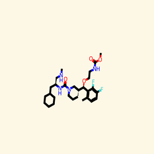 CNC[C@H](CC1CCCCC1)NC(=O)N1CCC[C@@H]([C@@H](OCCNC(=O)OC)c2c(C)ccc(F)c2F)C1